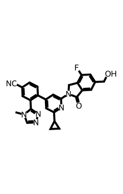 Cn1cnnc1-c1cc(C#N)ccc1-c1cc(C2CC2)nc(N2Cc3c(F)cc(CO)cc3C2=O)c1